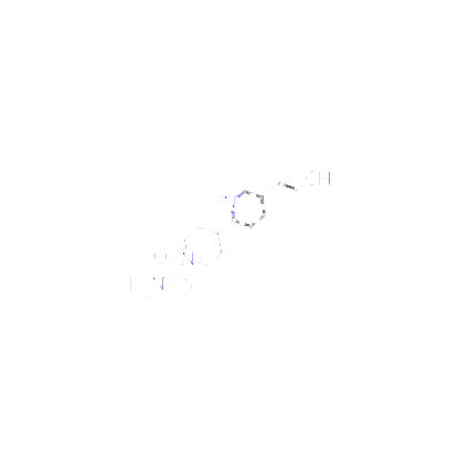 C/C=C/c1ccc(C2CCN(S(N)(=O)=O)CC2)nc1